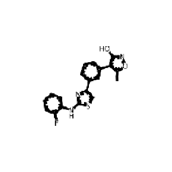 Cc1onc(O)c1-c1cccc(-c2csc(Nc3ccccc3F)n2)c1